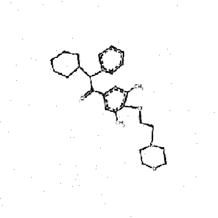 Cc1cc(C(=O)C(c2ccccc2)C2CCCCC2)cc(C)c1OCCN1CCOCC1